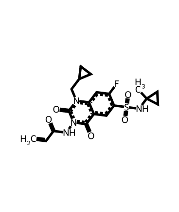 C=CC(=O)Nn1c(=O)c2cc(S(=O)(=O)NC3(C)CC3)c(F)cc2n(CC2CC2)c1=O